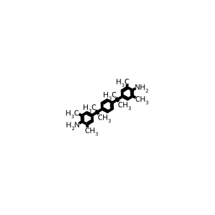 Cc1cc(C(C)(C)c2ccc(C(C)(C)c3cc(C)c(N)c(C)c3)cc2)cc(C)c1N